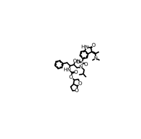 CC(=C1C(=O)Nc2ccc(S(=O)(=O)N(CC(C)C)CC(O)C(Cc3ccccc3)NC(=O)OC3COC4OCCC34)cc21)N(C)C